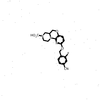 N#Cc1ccc(COc2ccc3c(n2)N2CCN(C(=O)O)CC2CO3)c(F)c1